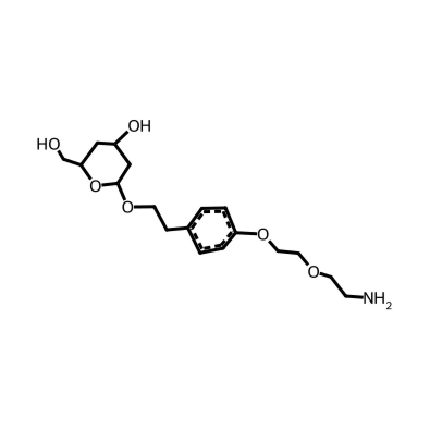 NCCOCCOc1ccc(CCOC2CC(O)CC(CO)O2)cc1